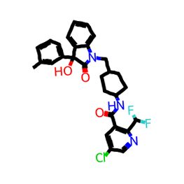 Cc1cccc(C2(O)C(=O)N(CC3CCC(NC(=O)c4cc(Cl)cnc4C(F)F)CC3)c3ccccc32)c1